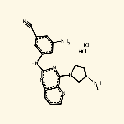 CN[C@H]1CCN(c2nc(Nc3cc(N)cc(C#N)c3)nc3cccnc23)C1.Cl.Cl